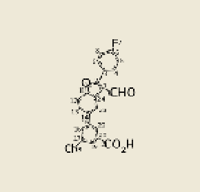 O=Cc1c(-c2ccc(F)cc2)oc2ccc(-c3cc(Cl)cc(C(=O)O)c3)cc12